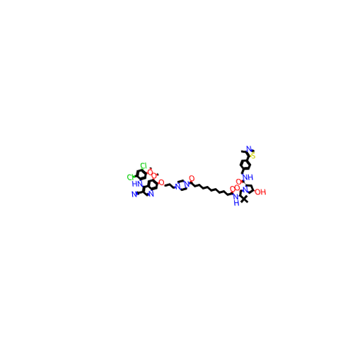 COc1cc(Nc2c(C#N)cnc3cc(OCCCN4CCN(C(=O)CCCCCCCCCC(=O)N[C@H](C(=O)N5C[C@H](O)C[C@H]5C(=O)NCc5ccc(-c6scnc6C)cc5)C(C)(C)C)CC4)c(OC)cc23)c(Cl)cc1Cl